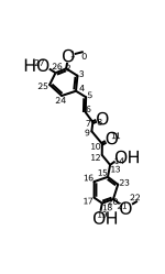 COc1cc(C=CC(=O)CC(=O)CC(O)c2ccc(O)c(OC)c2)ccc1O